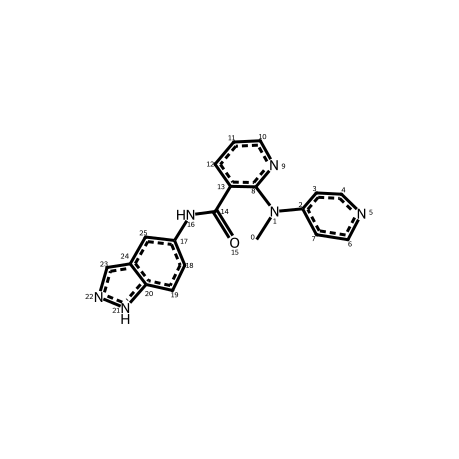 CN(c1ccncc1)c1ncccc1C(=O)Nc1ccc2[nH]ncc2c1